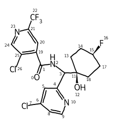 O=C(NC(c1cc(Cl)ccn1)[C@]1(O)CC[C@@H](F)CC1)c1cc(C(F)(F)F)ncc1Cl